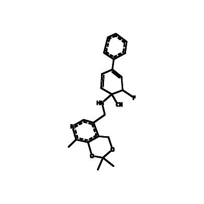 Cc1ncc(CNC2(C#N)C=CC(c3ccccc3)=CC2F)c2c1OC(C)(C)OC2